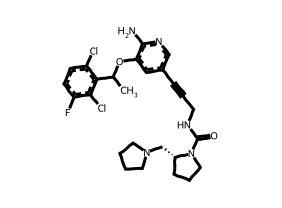 CC(Oc1cc(C#CCNC(=O)N2CCC[C@@H]2CN2CCCC2)cnc1N)c1c(Cl)ccc(F)c1Cl